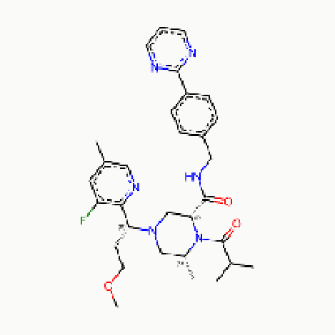 COCC[C@H](c1ncc(C)cc1F)N1C[C@@H](C)N(C(=O)C(C)C)[C@@H](C(=O)NCc2ccc(-c3ncccn3)cc2)C1